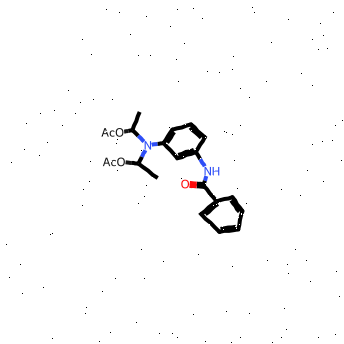 CC(=O)OC(C)N(c1cccc(NC(=O)c2ccccc2)c1)C(C)OC(C)=O